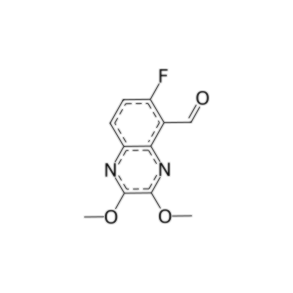 COc1nc2ccc(F)c(C=O)c2nc1OC